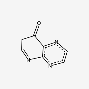 O=C1CC=Nc2nccnc21